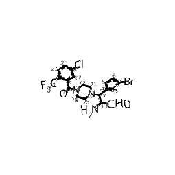 NC(C=O)C(c1ccc(Br)s1)N1CCN(C(=O)c2cc(Cl)ccc2C(F)(F)F)CC1